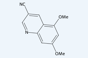 COc1cc(OC)c2cc(C#N)cnc2c1